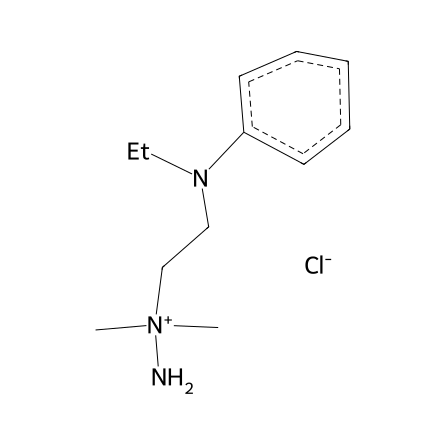 CCN(CC[N+](C)(C)N)c1ccccc1.[Cl-]